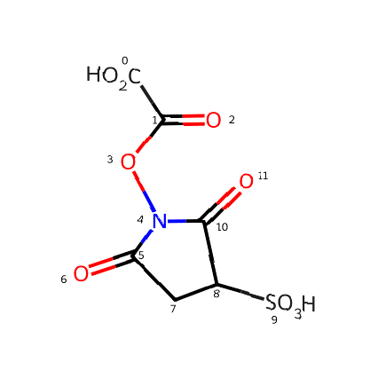 O=C(O)C(=O)ON1C(=O)CC(S(=O)(=O)O)C1=O